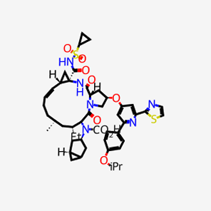 CC[C@@H]1C[C@H](C)CC/C=C\[C@@H]2C[C@@]2(C(=O)NS(=O)(=O)C2CC2)NC(=O)[C@@H]2C[C@@H](Oc3cc(-c4ccc(OC(C)C)cc4)nc(-c4nccs4)c3)CN2C(=O)[C@H]1N(C(=O)O)[C@H]1CC2C[C@H]2C1